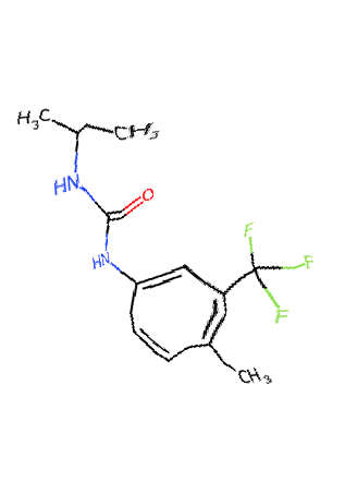 Cc1ccc(NC(=O)NC(C)C)cc1C(F)(F)F